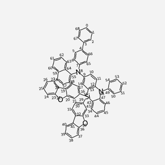 c1ccc(-c2ccc(N(c3ccc4c(c3)[Si](c3ccc5c(c3)oc3ccccc35)(c3ccc5c(c3)oc3ccccc35)c3ccccc3N4c3ccccc3)c3cccc4ccccc34)cc2)cc1